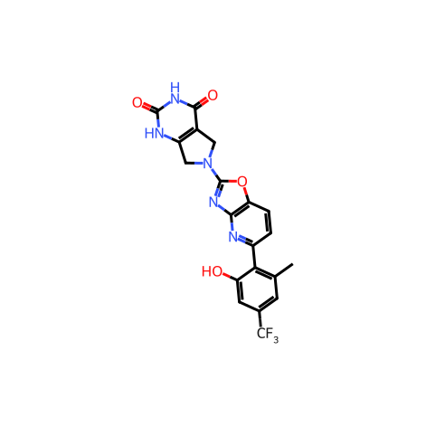 Cc1cc(C(F)(F)F)cc(O)c1-c1ccc2oc(N3Cc4[nH]c(=O)[nH]c(=O)c4C3)nc2n1